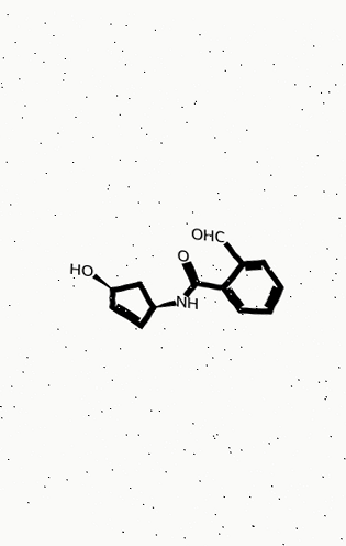 O=Cc1ccccc1C(=O)N[C@H]1C=C[C@@H](O)C1